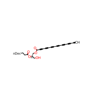 C#CC#CC#CC#CC#CC#CC#CC(=O)OC[C@@H](CO)OC(=O)CCCCCCCCCCCC